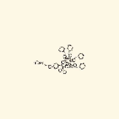 CCCCCCCCCCCCOc1ccc2c(O[C@H]3O[C@H](COCc4ccccc4)[C@@H](OCc4ccccc4)[C@H](OCc4ccccc4)[C@@H]3OCc3ccccc3)c(OC(C)=O)c(=O)oc2c1